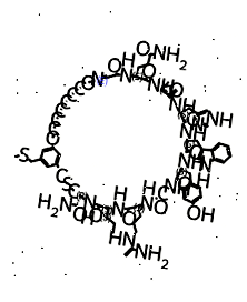 C=C(N)NCCC[C@@H]1NC(=O)CNC(=O)[C@H](Cc2ccc(O)cc2)NC(=O)[C@H](Cc2c[nH]c3ccccc23)NC(=O)[C@H](Cc2c[nH]cn2)NC(=O)[C@H](C)NC(=O)[C@H](CCC(N)=O)NC(=O)/C=N/OCCCCCCOc2cc(CSC)cc(c2)CSC[C@@H](C(N)=O)NC(=O)[C@H]([C@@H](C)CC)NC1=O